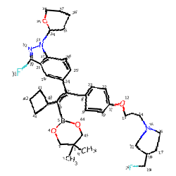 CC1(C)COB(C(=C(c2ccc(OCCN3CCC(CF)C3)cc2)c2ccc3c(c2)c(F)nn3C2CCCCO2)C2CCC2)OC1